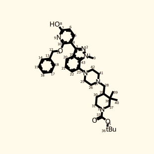 Cn1nc(-c2ccc(O)nc2OCc2ccccc2)c2cccc(N3CCN(CC4CCN(C(=O)OC(C)(C)C)CC4(C)C)CC3)c21